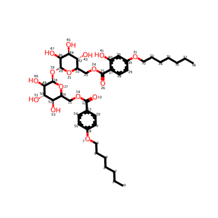 CCCCCCCOc1ccc(C(=O)OCC2O[C@H](O[C@H]3OC(COC(=O)c4ccc(OCCCCCCC)cc4O)[C@@H](O)[C@H](O)C3O)C(O)[C@@H](O)[C@@H]2O)cc1